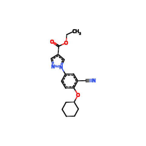 CCOC(=O)c1cnn(-c2ccc(OC3CCCCC3)c(C#N)c2)c1